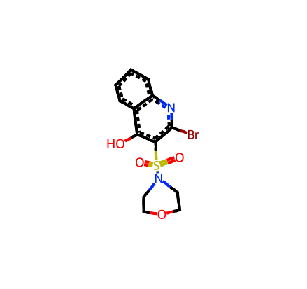 O=S(=O)(c1c(Br)nc2ccccc2c1O)N1CCOCC1